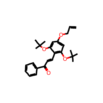 C=CCOc1cc(OC(C)(C)C)c(C=CC(=O)c2ccccc2)c(OC(C)(C)C)c1